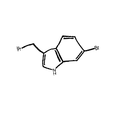 CC(C)Cc1c[nH]c2cc(Br)ccc12